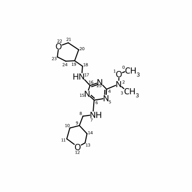 CON(C)c1nc(NCC2CCOCC2)nc(NCC2CCOCC2)n1